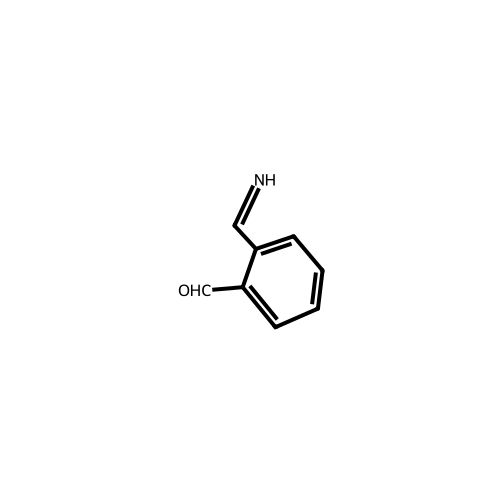 N=Cc1ccccc1C=O